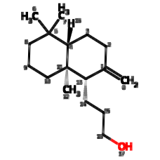 C=C1CC[C@H]2C(C)(C)CCC[C@]2(C)[C@H]1CCCO